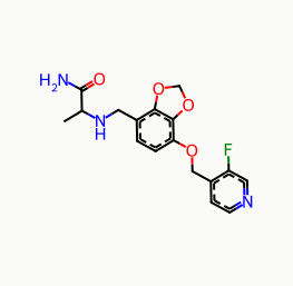 CC(NCc1ccc(OCc2ccncc2F)c2c1OCO2)C(N)=O